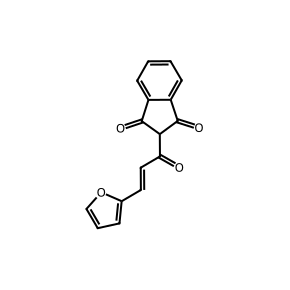 O=C(C=Cc1ccco1)C1C(=O)c2ccccc2C1=O